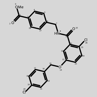 COC(=O)c1ccc(CNC(=O)c2cc(OCc3ccc(Cl)cc3)ccc2Cl)cc1